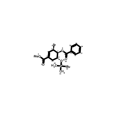 COC(=O)C1=C[C@@H](Br)[C@@H](OC(=O)c2ccccc2)[C@H](O[Si](C)(C)C(C)(C)C)C1